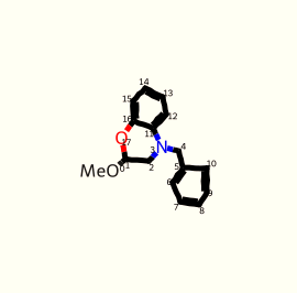 COC1CN(Cc2ccccc2)c2ccccc2O1